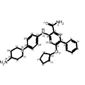 NC(=O)c1nc(-c2ccccc2)c(OC2CCCC2)nc1Nc1ccc(N2CCC(N)CC2)cc1